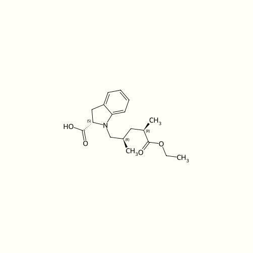 CCOC(=O)[C@H](C)C[C@@H](C)CN1c2ccccc2C[C@H]1C(=O)O